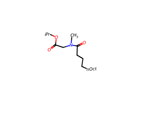 CCCCCCCCCCCC(=O)N(C)CC(=O)OC(C)C